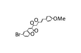 COc1ccc(C=CC(=O)CC(=O)c2cc3cc(Br)ccc3oc2=O)cc1